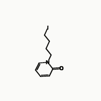 O=c1ccccn1CCCCI